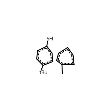 CC(C)(C)c1ccc(S)cc1.Cc1ccccc1